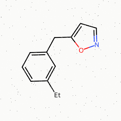 CCc1cccc(Cc2ccno2)c1